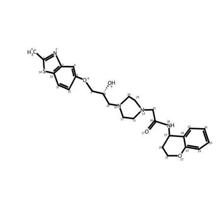 Cc1nc2cc(OC[C@H](O)CN3CCN(CC(=O)NC4CCOc5ccccc54)CC3)ccc2s1